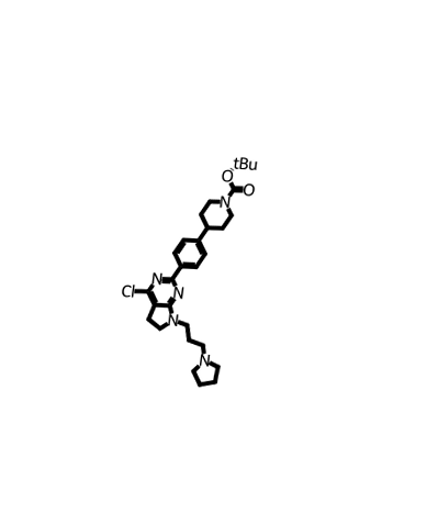 CC(C)(C)OC(=O)N1CCC(c2ccc(-c3nc(Cl)c4c(n3)N(CCCN3CCCC3)CC4)cc2)CC1